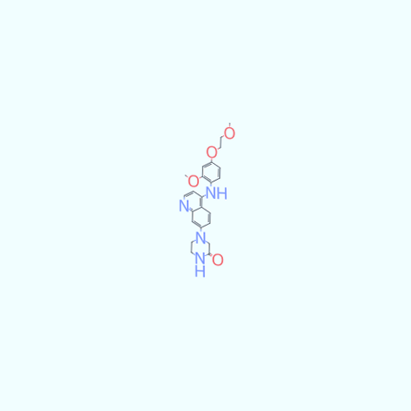 COCCOc1ccc(Nc2ccnc3cc(N4CCNC(=O)C4)ccc23)c(OC)c1